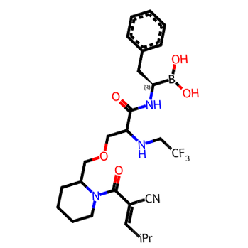 CC(C)C=C(C#N)C(=O)N1CCCCC1COCC(NCC(F)(F)F)C(=O)N[C@@H](Cc1ccccc1)B(O)O